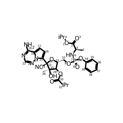 CC(C)OC(=O)[C@@H](C)N[P@@](=O)(OC[C@H]1O[C@@](C#N)(c2ccc3c(N)ncnn23)[C@](C)(O)C1OC(=O)C(C)C)Oc1ccccc1